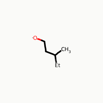 CCC(C)CC[O]